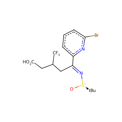 CC(C)(C)[S@@+]([O-])N=C(CC(CC(=O)O)C(F)(F)F)c1cccc(Br)n1